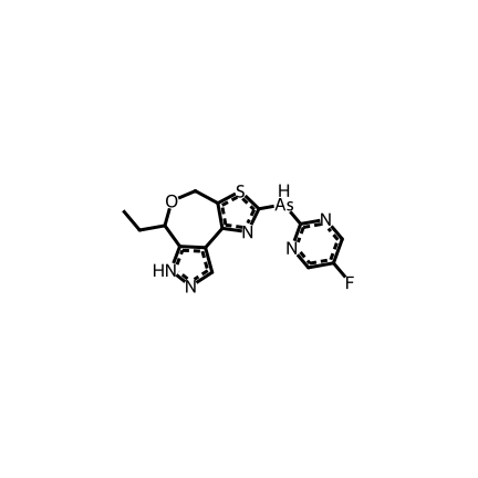 CCC1OCc2sc([AsH]c3ncc(F)cn3)nc2-c2cn[nH]c21